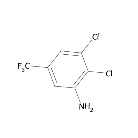 Nc1cc(C(F)(F)F)cc(Cl)c1Cl